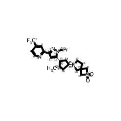 CC(C)n1nc(-c2cc(C(F)(F)F)ccn2)cc1[C@@H]1C[C@H](N2CCC3(C2)CS(=O)(=O)C3)C[C@@H]1C